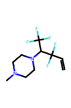 C=CC(F)(F)C(N1CCN(C)CC1)C(F)(F)F